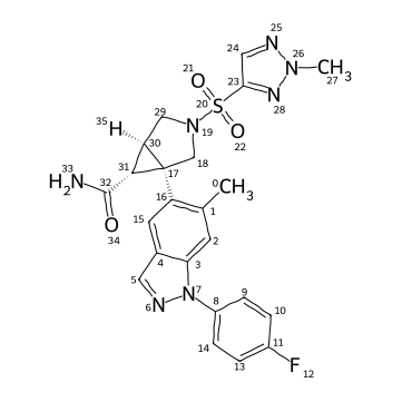 Cc1cc2c(cnn2-c2ccc(F)cc2)cc1[C@@]12CN(S(=O)(=O)c3cnn(C)n3)C[C@@H]1[C@H]2C(N)=O